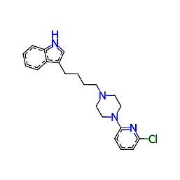 Clc1cccc(N2CCN(CCCCc3c[nH]c4ccccc34)CC2)n1